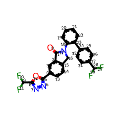 O=C1c2cc(-c3nnc(C(F)F)o3)ccc2CN1c1ccccc1-c1ccc(C(F)F)cc1